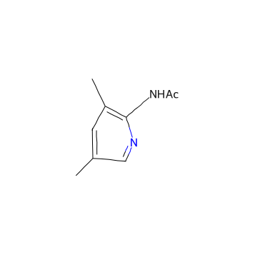 CC(=O)Nc1ncc(C)cc1C